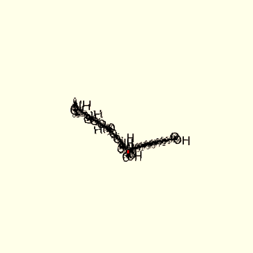 CC(C)N[C@@H](CCCCNC(=O)COCCOCCNC(=O)COCCOCCNC(=O)CC[C@@H](NC(=O)CCCCCCCCCCCCCCCCC(=O)O)C(=O)O)C(=O)C(C)C